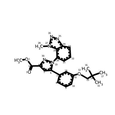 COC(=O)c1cc(-c2cccc(OCC(C)(C)C)c2)n(-c2cccc3nnn(C)c23)n1